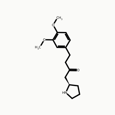 COc1ccc(CCC(=O)C[C@H]2CCCN2)cc1OC